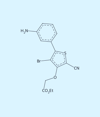 CCOC(=O)COc1c(C#N)sc(-c2cccc(N)c2)c1Br